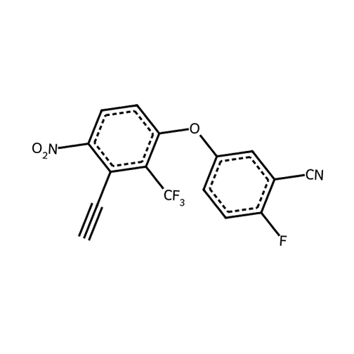 C#Cc1c([N+](=O)[O-])ccc(Oc2ccc(F)c(C#N)c2)c1C(F)(F)F